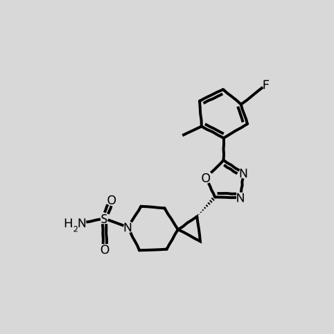 Cc1ccc(F)cc1-c1nnc([C@@H]2CC23CCN(S(N)(=O)=O)CC3)o1